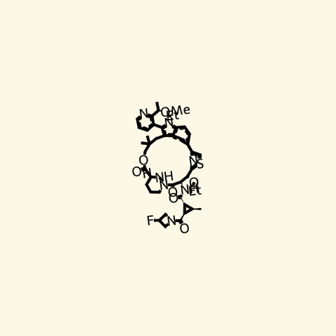 CCO[C@@H]1c2nc(cs2)-c2ccc3c(c2)c(c(-c2cccnc2[C@H](C)OC)n3CC)CC(C)(C)COC(=O)[C@@H]2CCCN(N2)C(=O)[C@H]1NC(=O)[C@@H]1[C@@H](C)[C@H]1C(=O)N1CC(F)C1